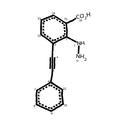 NNc1c(C#Cc2ccccc2)cccc1C(=O)O